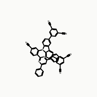 N#Cc1cc(C#N)cc(-c2ccc3c(c2)c2cc(-c4cc(C#N)cc(C#N)c4)ccc2n3-c2cc(C#N)ccc2-c2nc(-c3ccccc3)cc(-c3ccccc3)n2)c1